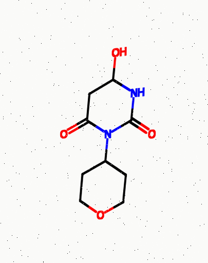 O=C1CC(O)NC(=O)N1C1CCOCC1